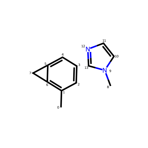 Cc1cccc2c1C2.Cn1ccnc1